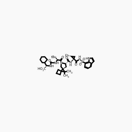 CC[C@@H]1C[C@]1(NC(=O)[C@@H]1C[C@@]2(CN1C(=O)[C@@H](NC(=O)N[C@H](C(=O)O)C1CCCCC1)C(C)(C)C)C(C)(C)C21CCC1)C(=O)NS(=O)(=O)c1cccc2cc[nH]c12